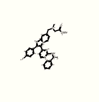 COC(=O)CN(C)Cc1ccn2c(-c3ccnc(N[C@@H](C)c4ccccc4)n3)c(-c3ccc(F)cc3)nc2c1